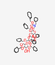 CC1C(OC2OC3COC(c4ccccc4)OC3C(O)C2OC(=O)c2ccccc2)C(COCc2ccccc2)OC(OC2C3OC(c4ccccc4)OCC3OC(OCN(Cc3ccccc3)C(=O)OCc3ccccc3)C2OC(=O)c2ccccc2)C1OC(=O)c1ccccc1